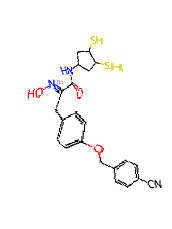 N#Cc1ccc(COc2ccc(C/C(=N\O)C(=O)NC3CC(S)C(S)C3)cc2)cc1